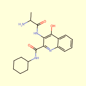 CC(N)C(=O)Nc1c(C(=O)NC2CCCCC2)nc2ccccc2c1O